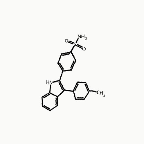 Cc1ccc(-c2c(-c3ccc(S(N)(=O)=O)cc3)[nH]c3ccccc23)cc1